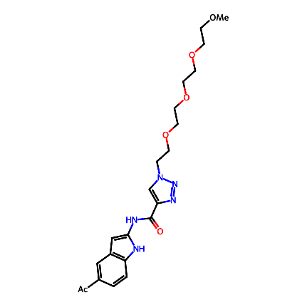 COCCOCCOCCOCCn1cc(C(=O)Nc2cc3cc(C(C)=O)ccc3[nH]2)nn1